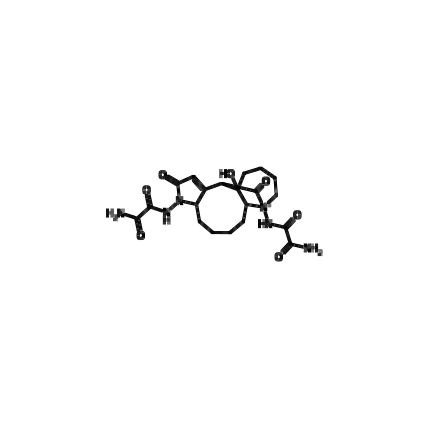 NC(=O)C(=O)NN1C(=O)C=C2C1CCCCC1C3(O)CCCC[N+]1(NC(=O)C(N)=O)C(=O)C23